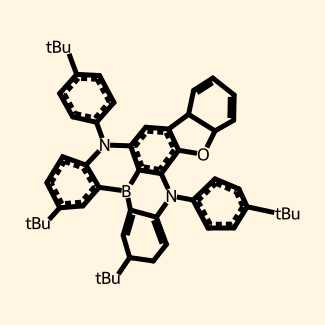 CC(C)(C)c1ccc(N2C3=CCC(C(C)(C)C)C=C3B3c4cc(C(C)(C)C)ccc4N(c4ccc(C(C)(C)C)cc4)c4cc5c(c2c43)OC2C=CC=CC52)cc1